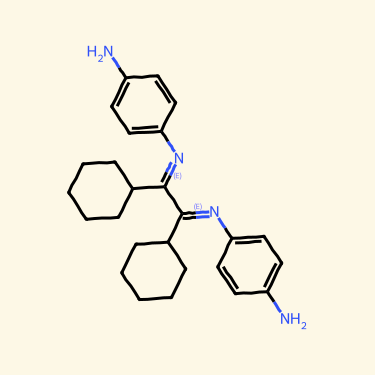 Nc1ccc(/N=C(/C(=N/c2ccc(N)cc2)C2CCCCC2)C2CCCCC2)cc1